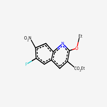 CCOC(=O)c1cc2cc(F)c([N+](=O)[O-])cc2nc1OCC